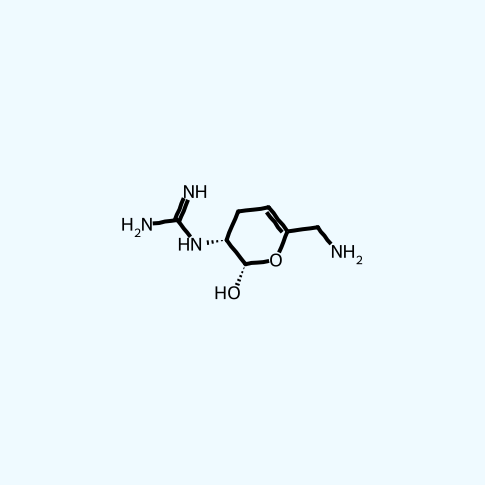 N=C(N)N[C@@H]1CC=C(CN)O[C@@H]1O